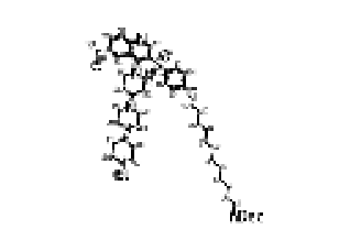 CCCCCCCCCCCCCCCCCCCCCCOc1ccc(S(=O)(=O)c2cnc3ccc([S@@+](C)[O-])cc3c2N2CCC(N3CCN(C4CCN(CC)CC4)CC3)CC2)cc1